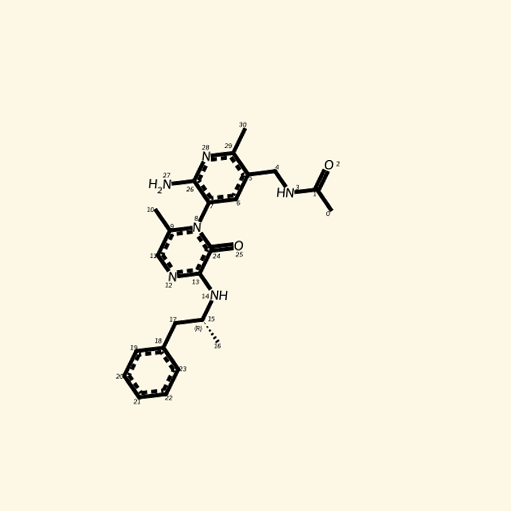 CC(=O)NCc1cc(-n2c(C)cnc(N[C@H](C)Cc3ccccc3)c2=O)c(N)nc1C